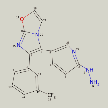 NNc1ccc(-c2c(-c3cccc(C(F)(F)F)c3)nc3occn23)cn1